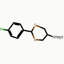 CCCCCCCC1CSC(c2ccc(F)cc2)SC1